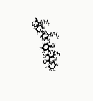 C[C@@H]1OCC2(CCN(c3cnc(Sc4cccc(NC(=O)c5c(O)nc6n(c5=O)CCCC6)c4Cl)c(N)n3)CC2)[C@@H]1N